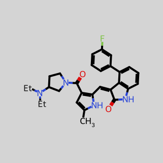 CCN(CC)C1CCN(C(=O)c2cc(C)[nH]c2/C=C2\C(=O)Nc3cccc(-c4cccc(F)c4)c32)C1